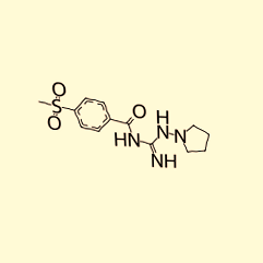 CS(=O)(=O)c1ccc(C(=O)NC(=N)NN2CCCC2)cc1